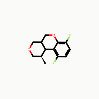 C[C@H]1COCC2COc3c(F)ccc(F)c3C21